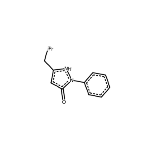 CC(C)Cc1cc(=O)n(-c2ccccc2)[nH]1